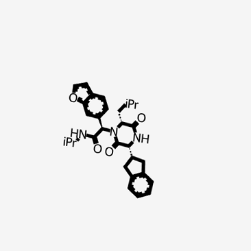 CC(C)C[C@@H]1C(=O)N[C@H](C2Cc3ccccc3C2)C(=O)N1[C@@H](C(=O)NC(C)C)c1ccc2ccoc2c1